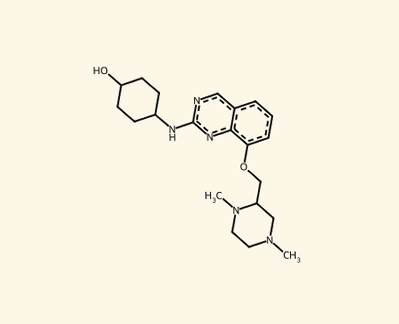 CN1CCN(C)C(COc2cccc3cnc(NC4CCC(O)CC4)nc23)C1